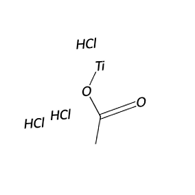 CC(=O)[O][Ti].Cl.Cl.Cl